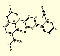 COC(=O)c1ccc(CC(C)C)n(Cc2ccc(-c3ccccc3C#N)cc2)c1=O